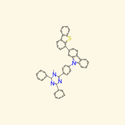 CN1C(c2ccc(-n3c4ccccc4c4ccc(-c5cccc6c5sc5ccccc56)cc43)cc2)=NC(c2ccccc2)=NC1c1ccccc1